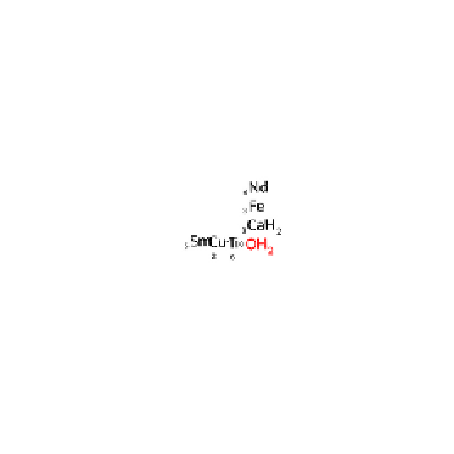 O.[CaH2].[Cu].[Fe].[Nd].[Sm].[Ti]